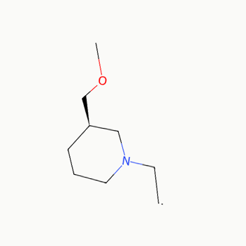 [CH2]CN1CCC[C@@H](COC)C1